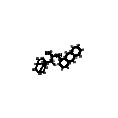 CN(C(=N)Nc1cccc2cc3ccccc3cc12)C1C2CC3CC(C2)CC1C3